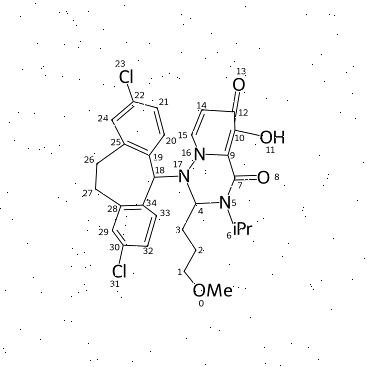 COCCCC1N(C(C)C)C(=O)c2c(O)c(=O)ccn2N1C1c2ccc(Cl)cc2CCc2cc(Cl)ccc21